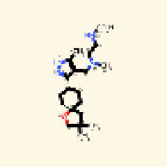 Cc1[nH]nc([C@H]2CC[C@]3(CC2)CC(C)(C)CO3)c1CN(C)CCNC(=O)O